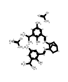 CC(=O)[O-].CC(=O)[O-].Cc1cc(C=NC2CC3CCC2(N=Cc2cc(C)cc(C(C)C)c2O)C3)c(O)c(C(C)C)c1.[Co+2]